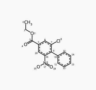 CCOC(=O)c1cc(Cl)c(-c2ccccc2)c([N+](=O)[O-])c1